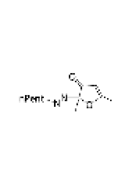 CCCCCN=NC1(C)OC(C)=CC1=O